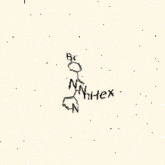 CCCCCCn1cc(-c2ccc(Br)cc2)nc1-c1cccnc1